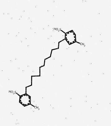 Cc1ccc(S(=O)(=O)O)c(CCCCCCCCCCCc2cc(C)ccc2S(=O)(=O)O)c1